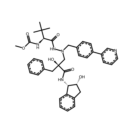 COC(=O)N[C@H](C(=O)NN(Cc1ccc(-c2cccnc2)cc1)C[C@@](O)(Cc1ccccc1)C(=O)N[C@H]1c2ccccc2C[C@H]1O)C(C)(C)C